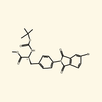 COC(=O)[C@H](Cc1ccc(N2C(=O)c3ccc(Br)cc3C2=O)cc1)NC(=O)OC(C)(C)C